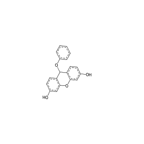 Oc1ccc2c(c1)Oc1cc(O)ccc1C2Oc1ccccc1